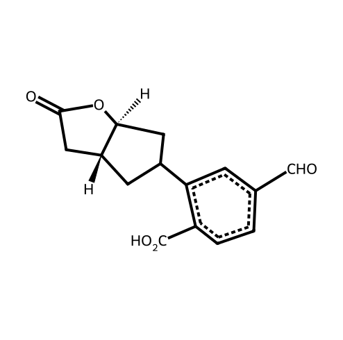 O=Cc1ccc(C(=O)O)c(C2C[C@@H]3CC(=O)O[C@H]3C2)c1